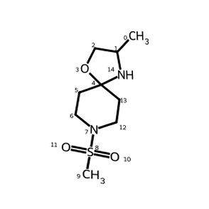 CC1COC2(CCN(S(C)(=O)=O)CC2)N1